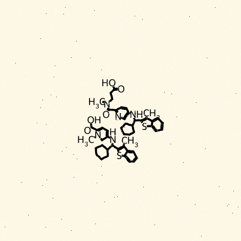 Cc1c(C(NC2=CC=C(C(=O)O)N(C)C2)C2CCCCC2)sc2ccccc12.Cc1c(C(Nc2ccc(C(=O)N(C)CCC(=O)O)nc2)C2CCCCC2)sc2ccccc12